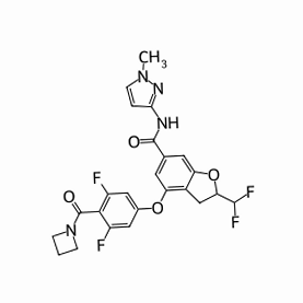 Cn1ccc(NC(=O)c2cc(Oc3cc(F)c(C(=O)N4CCC4)c(F)c3)c3c(c2)OC(C(F)F)C3)n1